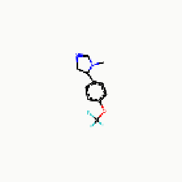 CN1C=NCC1c1ccc(OC(F)(F)F)cc1